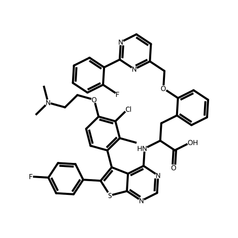 Cc1c(-c2c(-c3ccc(F)cc3)sc3ncnc(NC(Cc4ccccc4OCc4ccnc(-c5ccccc5F)n4)C(=O)O)c23)ccc(OCCN(C)C)c1Cl